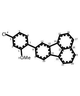 COc1cc(Cl)ccc1-c1ccc2c(c1)-c1cccc3cccc-2c13